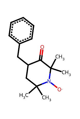 CC1(C)CC(Cc2ccccc2)C(=O)C(C)(C)N1[O]